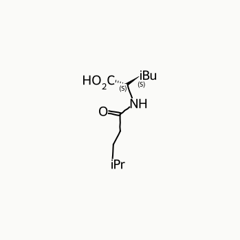 CC[C@H](C)[C@H](NC(=O)CCC(C)C)C(=O)O